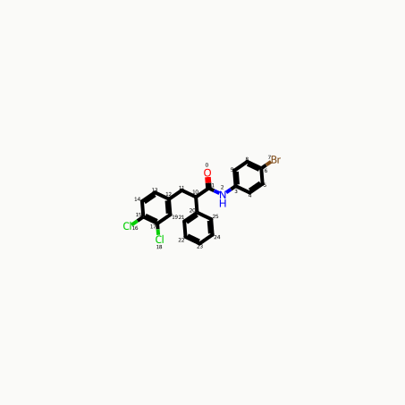 O=C(Nc1ccc(Br)cc1)C(Cc1ccc(Cl)c(Cl)c1)c1ccccc1